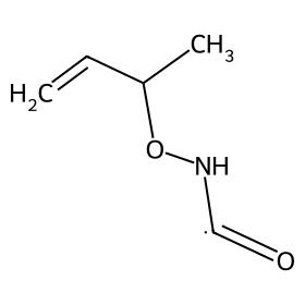 C=CC(C)ON[C]=O